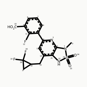 CN1c2nc(-c3cccc(C(=O)O)c3F)cc(CC3CC3(F)F)c2NS1(=O)=O